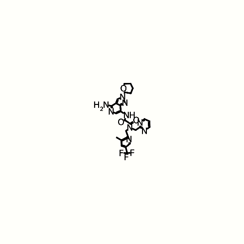 Cc1cc(C(F)(F)F)cnc1CN(Cc1ncccn1)C(=O)C(=O)Nc1cnc(N)c2cn(C3CCCCO3)nc12